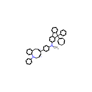 CN(c1ccc(C2=C/Cc3ccccc3N(c3ccccc3)C/C=C\2)cc1)c1ccc2c(c1)C(C1=CC=CCC=C1)(c1ccccc1)c1ccccc1-2